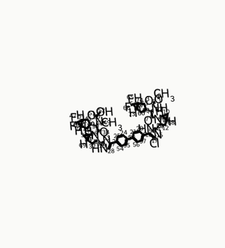 COC(=O)NC(C(=O)N1[C@@H]2C[C@@H]2C[C@H]1c1nc(Cl)c(-c2ccc(-c3ccc(-c4c[nH]c([C@@H]5C[C@H]6C[C@H]6N5C(=O)C([C@H]5C[C@@H]6[C@H](C5)C6(F)F)N(C)C(=O)O)n4)cc3)cc2)[nH]1)[C@H]1C[C@@H]2[C@H](C1)C2(F)F